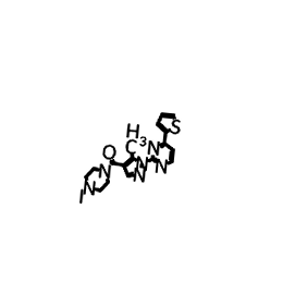 Cc1c(C(=O)N2CCN(I)CC2)cnn1-c1nccc(-c2cccs2)n1